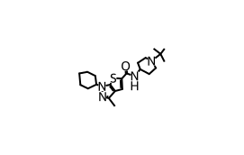 Cc1nn(C2CCCCC2)c2sc(C(=O)NC3CCN(C(C)(C)C)CC3)cc12